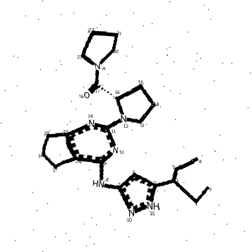 CCC(CC)c1cc(Nc2nc(N3CCC[C@H]3C(=O)N3CCCC3)nc3c2CCC3)n[nH]1